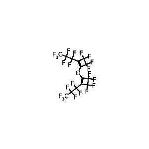 FC(F)(F)C(F)(F)C(F)(F)C1=C(OC2=C(C(F)(F)C(F)(F)C(F)(F)F)C(F)(F)C2(F)F)C(F)(F)C1(F)F